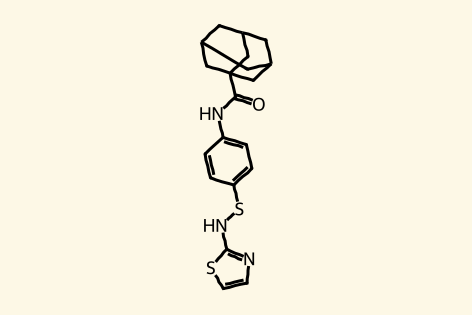 O=C(Nc1ccc(SNc2nccs2)cc1)C12CC3CC(CC(C3)C1)C2